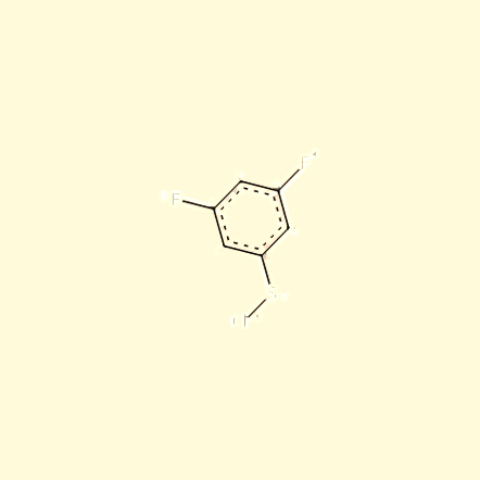 Fc1cc(F)cc(SCl)c1